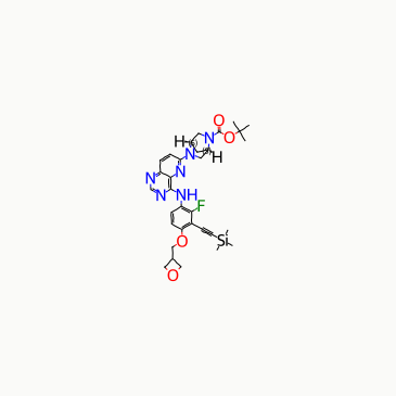 CC(C)(C)OC(=O)N1C[C@@H]2C[C@H]1CN2c1ccc2ncnc(Nc3ccc(OCC4COC4)c(C#C[Si](C)(C)C)c3F)c2n1